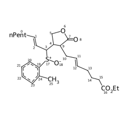 CCCCCC=CC(C1COC(=O)C1CC=CCCCC(=O)OCC)[S+]([O-])c1ccccc1C